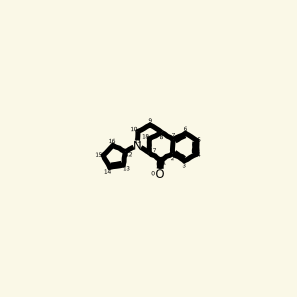 O=C1c2ccccc2C2CCN(C3C=CCC3)C1C2